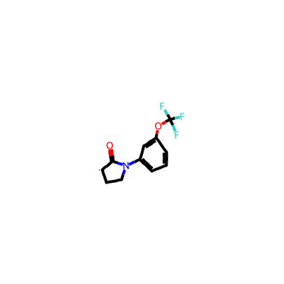 O=C1[CH]CCN1c1cccc(OC(F)(F)F)c1